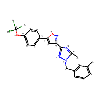 Cc1cc[c]c(Cn2nc(-c3cc(-c4ccc(OC(F)(F)F)cc4)on3)nc2C)c1